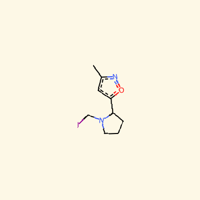 Cc1cc(C2CCCN2CI)on1